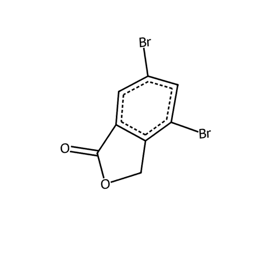 O=C1OCc2c(Br)cc(Br)cc21